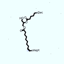 CCCCCCC/C=C\CCCCCCCC(=O)OCC(CO)OC(=O)CCCCCCCCCCCCCC